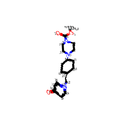 CC(C)(C)OC(=O)N1CCN([C@H]2CC[C@H](Cn3ccc(=O)cc3)CC2)CC1